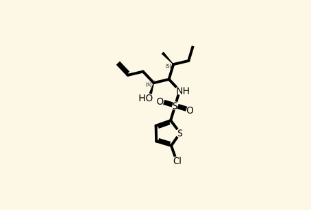 C=CC[C@H](O)C(NS(=O)(=O)c1ccc(Cl)s1)[C@@H](C)CC